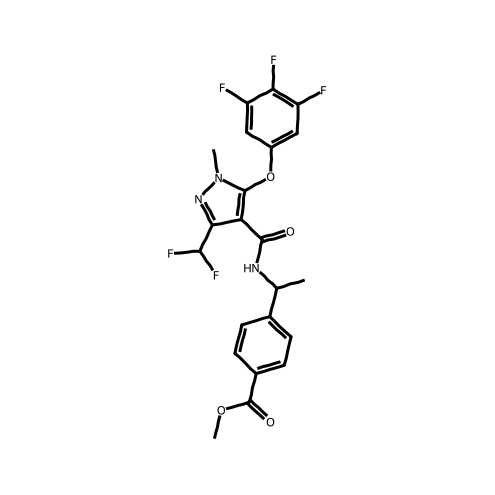 COC(=O)c1ccc(C(C)NC(=O)c2c(C(F)F)nn(C)c2Oc2cc(F)c(F)c(F)c2)cc1